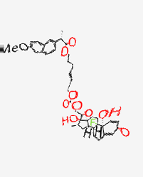 COc1ccc2cc([C@H](C)C(=O)OCCCCCCOC(=O)OCC(=O)[C@@]3(O)[C@H](C)C[C@H]4[C@@H]5CCC6=CC(=O)C=C[C@]6(C)[C@@]5(F)[C@@H](O)C[C@@]43C)ccc2c1